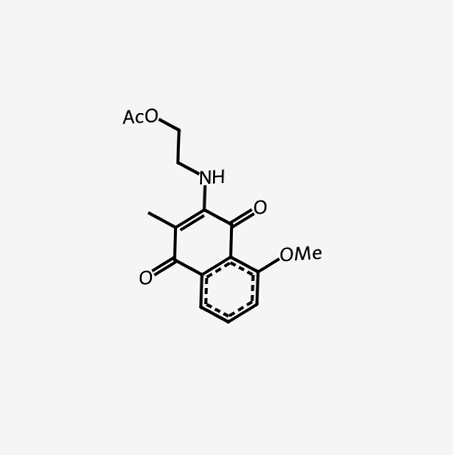 COc1cccc2c1C(=O)C(NCCOC(C)=O)=C(C)C2=O